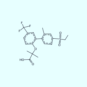 CCS(=O)(=O)c1ccc(-c2cc(C(F)(F)F)ccc2OC(C)(C)C(=O)O)c(C)c1